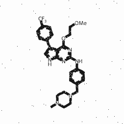 COCCOc1nc(Nc2ccc(CN3CCN(C)CC3)cc2)nc2[nH]cc(-c3ccc(C(F)(F)F)cc3)c12